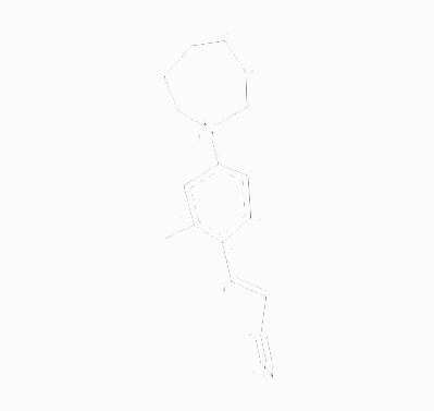 Cc1cc(N2CCCCCC2)ccc1/C=C/C#N